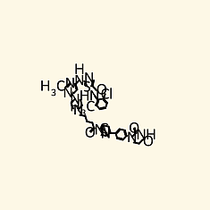 Cc1nc(Nc2ncc(C(=O)Nc3c(C)cccc3Cl)s2)cc(N2CCN(CCCCC(=O)N3CC4CCC3CN4c3ccc(N4CCC(=O)NC4=O)cc3)CC2)n1